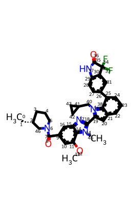 CC[C@@H]1CCCN(C(=O)c2cc(OC)c3c(c2)nc(-c2cc4cccc(-c5ccc6c(c5)C(F)(F)C(=O)N6)c4n2CC2CC2)n3C)C1